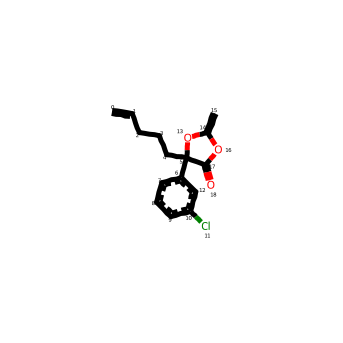 C=CCCCC1(c2cccc(Cl)c2)OC(=C)OC1=O